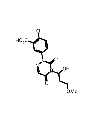 COCCC(O)n1c(=O)cnn(-c2ccc(Cl)c(C(=O)O)c2)c1=O